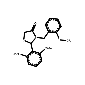 COc1cccc(OC)c1C1SCC(=O)N1Cc1ccccc1OC(F)(F)F